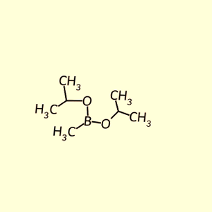 CB(OC(C)C)OC(C)C